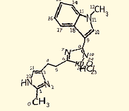 Cc1nc(CCc2nc(-c3cn(C)c4ccccc34)no2)c[nH]1.Cl.O